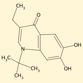 CCc1cn(C(C)(C)C)c2cc(O)c(O)cc2c1=O